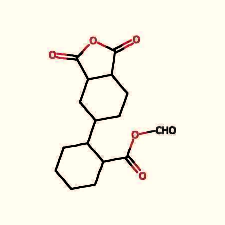 O=COC(=O)C1CCCCC1C1CCC2C(=O)OC(=O)C2C1